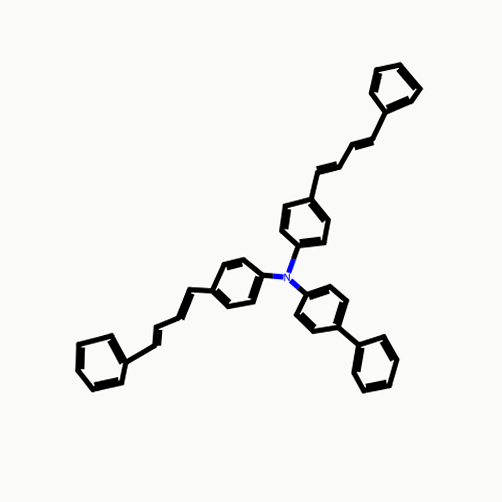 C(/C=C/c1ccc(N(c2ccc(/C=C/C=C/c3ccccc3)cc2)c2ccc(-c3ccccc3)cc2)cc1)=C\c1ccccc1